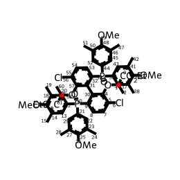 CCOC(=O)C(C)Oc1c(Cl)ccc(P(=O)(c2cc(C)c(OC)c(C)c2)c2cc(C)c(OC)c(C)c2)c1-c1c(P(=O)(c2cc(C)c(OC)c(C)c2)c2cc(C)c(OC)c(C)c2)ccc(Cl)c1OC(C)C(=O)OCC